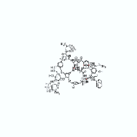 CN[C@H](CC(C)C)C(=O)N[C@H]1C(=O)NC(C(=O)NC(=O)c2ccc(OCCOC)cc2)C(=O)N[C@H]2C(=O)N[C@H]3C(=O)N[C@H](C(=O)N[C@H](C(=O)NC4C5CC6CC(C5)CC4C6)c4cc(O)cc(O)c4-c4cc3ccc4O)[C@H](O)c3ccc(c(Cl)c3)Oc3cc2cc(c3O[C@@H]2C[C@H](CO)[C@@H](O)[C@H](O)[C@H]2O[C@H]2C[C@](C)(N)[C@H](O)[C@H](C)O2)Oc2ccc(cc2C)[C@H]1O